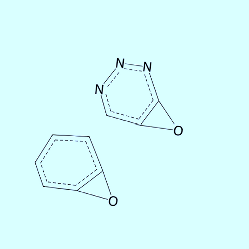 c1ccc2c(c1)O2.c1nnnc2c1O2